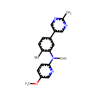 Cc1ncc(-c2ccc(C(C)(C)C)c(N(C=O)c3ccc(OC(F)(F)F)cn3)c2)cn1